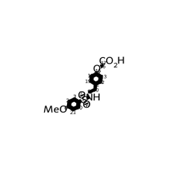 COc1ccc(S(=O)(=O)NCCc2ccc(OCC(=O)O)cc2)cc1